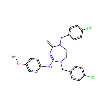 CC(C)Oc1ccc(NC2=NC(=O)N(Cc3ccc(Cl)cc3)CCN2Cc2ccc(Cl)cc2)cc1